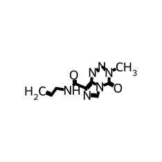 C=CCNC(=O)c1ncn2c(=O)n(C)nnc12